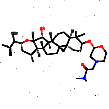 C=C(C)[C@@H](OC(C)=O)[C@H]1C[C@@H](C)[C@H]2[C@H](O1)[C@H](O)[C@@]1(C)[C@@H]3CC[C@H]4C(C)(C)[C@@H](O[C@H]5CN(CC(=O)N(C)C)CCO5)CC[C@@]45C[C@@]35CC[C@]21C